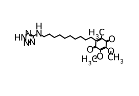 COC1=C(OC)C(=O)C(CCCCCCCCCCNc2nn[nH]n2)=C(C)C1=O